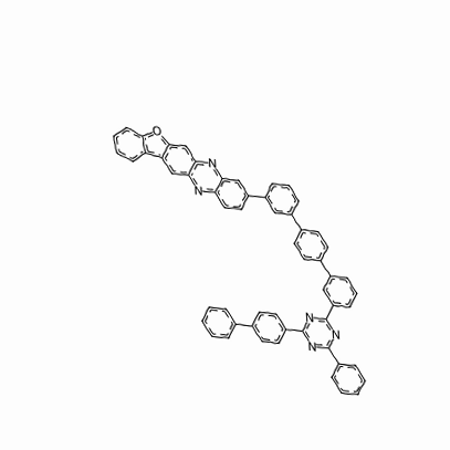 c1ccc(-c2ccc(-c3nc(-c4ccccc4)nc(-c4cccc(-c5ccc(-c6cccc(-c7ccc8nc9cc%10c(cc9nc8c7)oc7ccccc7%10)c6)cc5)c4)n3)cc2)cc1